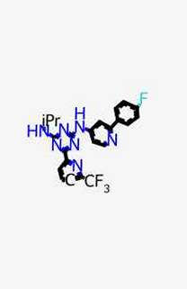 CC(C)Nc1nc(Nc2ccnc(-c3ccc(F)cc3)c2)nc(-c2cccc(C(F)(F)F)n2)n1